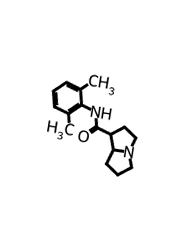 Cc1cccc(C)c1NC(=O)C1CCN2CCCC12